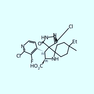 CCC1(C)CCC2(CC1)N[C@@H](C(=O)O)[C@H](c1ccnc(Cl)c1F)C21C(=O)Nc2nc(Cl)ccc21